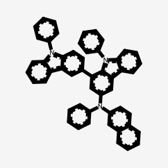 c1ccc(N(c2ccc3ccccc3c2)c2cc(-c3ccc4c(c3)c3ccccc3n4-c3ccccc3)c3c(c2)c2ccccc2n3-c2ccccc2)cc1